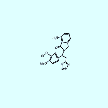 CCOc1cc(C(Cc2nnco2)N2Cc3cccc(N)c3C2=O)ccc1OC